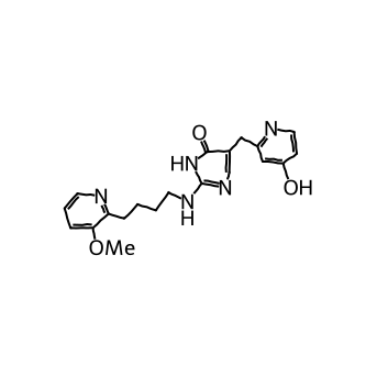 COc1cccnc1CCCCNc1ncc(Cc2cc(O)ccn2)c(=O)[nH]1